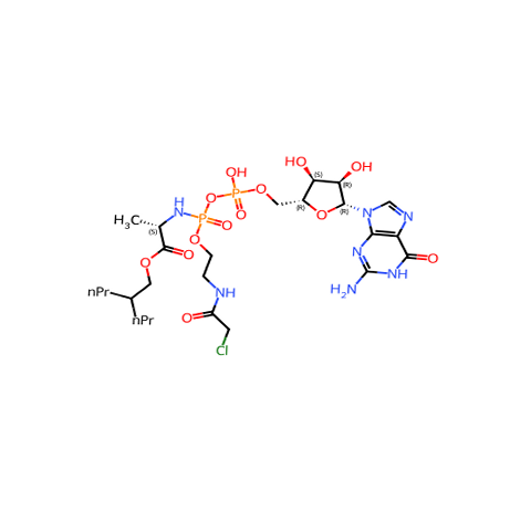 CCCC(CCC)COC(=O)[C@H](C)NP(=O)(OCCNC(=O)CCl)OP(=O)(O)OC[C@H]1O[C@@H](n2cnc3c(=O)[nH]c(N)nc32)[C@H](O)[C@@H]1O